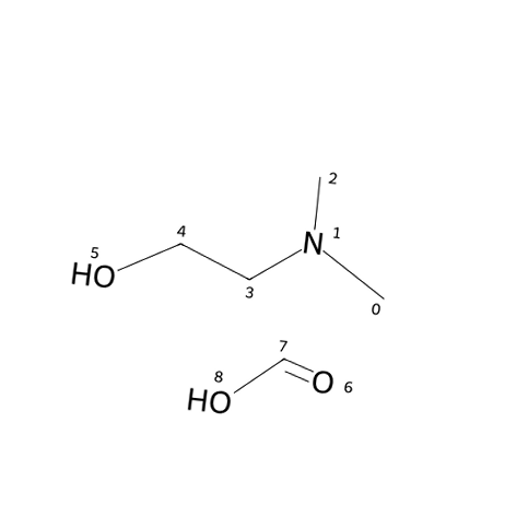 CN(C)CCO.O=CO